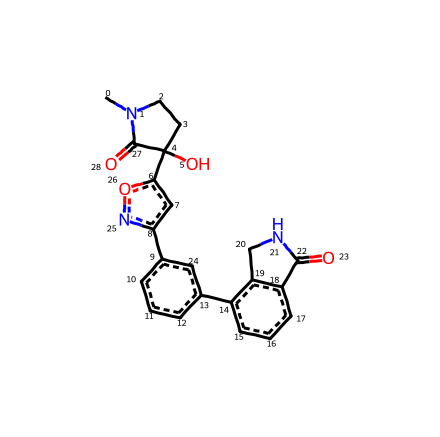 CN1CCC(O)(c2cc(-c3cccc(-c4cccc5c4CNC5=O)c3)no2)C1=O